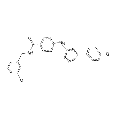 O=C(NCc1cccc(Cl)c1)c1ccc(Nc2nccc(-c3ccc(Cl)cc3)n2)cc1